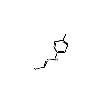 CC(=O)/C=N/Nc1ccc(F)cc1